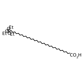 CCO[Si](CCCCCCCCCCCCCCCCCCCCCCCCCCCCCCCCCC(=O)O)(OCC)OCC